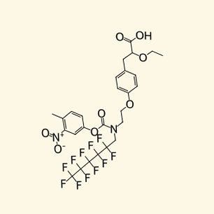 CCOC(Cc1ccc(OCCN(CC(F)(F)C(F)(F)C(F)(F)C(F)(F)C(F)(F)F)C(=O)Oc2ccc(C)c([N+](=O)[O-])c2)cc1)C(=O)O